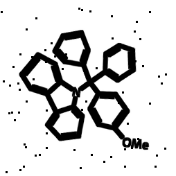 COc1ccc(C(c2ccccc2)(c2ccccc2)n2c3ccccc3c3ccccc32)cc1